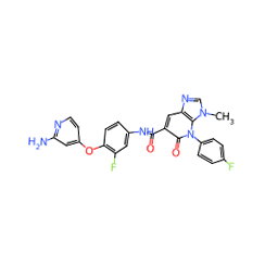 Cn1cnc2cc(C(=O)Nc3ccc(Oc4ccnc(N)c4)c(F)c3)c(=O)n(-c3ccc(F)cc3)c21